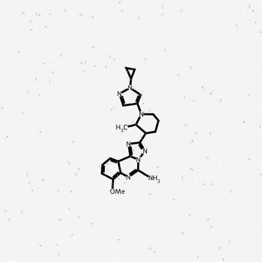 COc1cccc2c1nc(N)n1nc(C3CCCN(c4cnn(C5CC5)c4)C3C)nc21